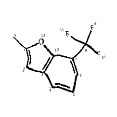 Cc1cc2[c]ccc(C(F)(F)F)c2o1